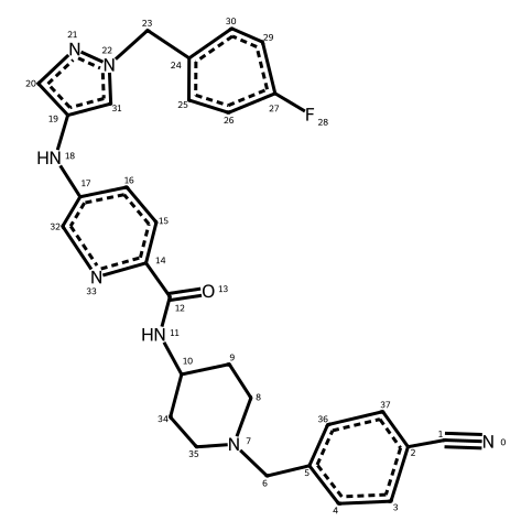 N#Cc1ccc(CN2CCC(NC(=O)c3ccc(Nc4cnn(Cc5ccc(F)cc5)c4)cn3)CC2)cc1